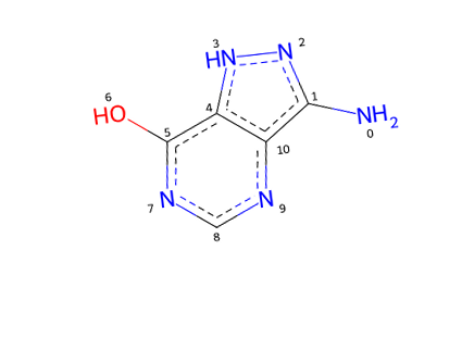 Nc1n[nH]c2c(O)ncnc12